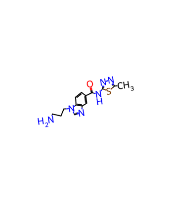 Cc1nnc(NC(=O)c2ccc3c(c2)ncn3CCCN)s1